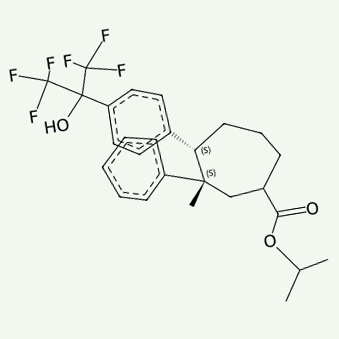 CC(C)OC(=O)C1CCC[C@@H](c2ccc(C(O)(C(F)(F)F)C(F)(F)F)cc2)[C@@](C)(c2ccccc2)C1